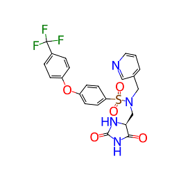 O=C1NC(=O)[C@H](CN(Cc2cccnc2)S(=O)(=O)c2ccc(Oc3ccc(C(F)(F)F)cc3)cc2)N1